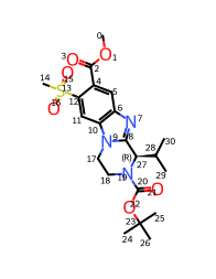 COC(=O)c1cc2nc3n(c2cc1S(C)(=O)=O)CCN(C(=O)OC(C)(C)C)[C@@H]3C(C)C